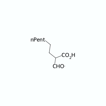 CCCCCCCC([C]=O)C(=O)O